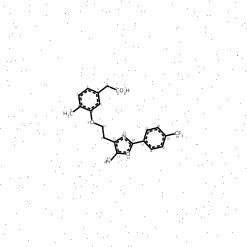 Cc1ccc(CC(=O)O)cc1OCCc1nc(-c2ccc(C(F)(F)F)cc2)oc1C(C)C